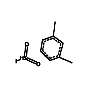 Cc1cccc(C)c1.O=[SH](=O)I